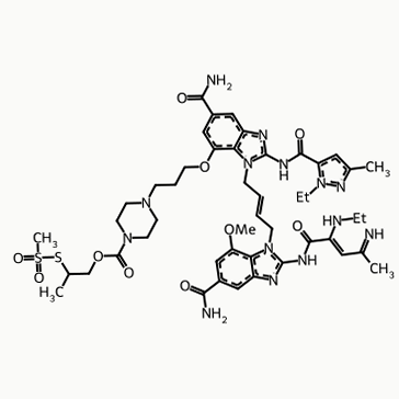 CCN/C(=C\C(C)=N)C(=O)Nc1nc2cc(C(N)=O)cc(OC)c2n1C/C=C/Cn1c(NC(=O)c2cc(C)nn2CC)nc2cc(C(N)=O)cc(OCCCN3CCN(C(=O)OCC(C)SS(C)(=O)=O)CC3)c21